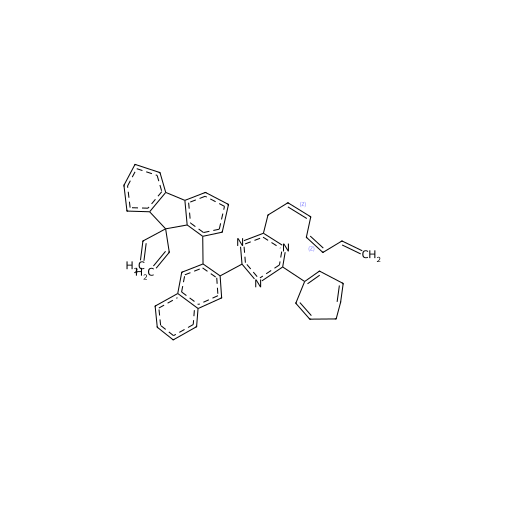 C=C/C=C\C=C/Cc1nc(C2=CC=CCC=C2)nc(-c2cc3ccccc3cc2-c2cccc3c2C(C=C)(C=C)c2ccccc2-3)n1